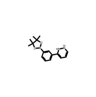 CC1(C)OB(c2cccc(C3=CC=CNN3)c2)OC1(C)C